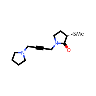 CS[C@H]1CCN(CC#CCN2CCCC2)C1=O